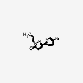 CCCn1nc(-c2ccc(Br)cn2)ccc1=O